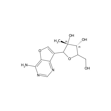 C[C@]1(O)C(c2coc3c(N)ncnc23)OC(CO)[C@H]1O